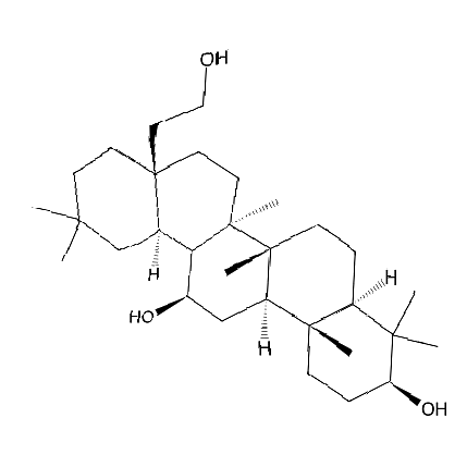 CC1(C)CC[C@]2(CCO)CC[C@]3(C)C([C@H](O)C[C@@H]4[C@@]5(C)CC[C@H](O)C(C)(C)[C@@H]5CC[C@]43C)[C@H]2C1